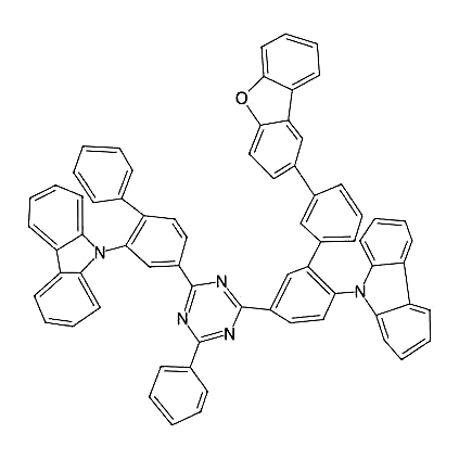 c1ccc(-c2nc(-c3ccc(-n4c5ccccc5c5ccccc54)c(-c4cccc(-c5ccc6oc7ccccc7c6c5)c4)c3)nc(-c3ccc(-c4ccccc4)c(-n4c5ccccc5c5ccccc54)c3)n2)cc1